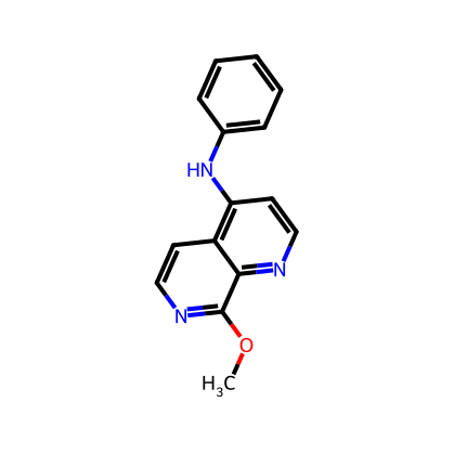 COc1nccc2c(Nc3ccccc3)ccnc12